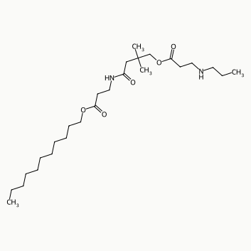 CCCCCCCCCCCOC(=O)CCNC(=O)CC(C)(C)COC(=O)CCNCCC